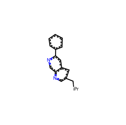 CC(C)Cc1cnc2cnc(-c3ccccc3)cc2c1